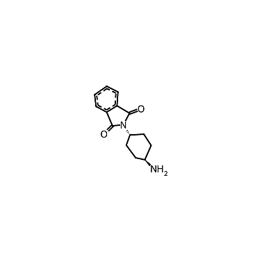 N[C@H]1CC[C@H](N2C(=O)c3ccccc3C2=O)CC1